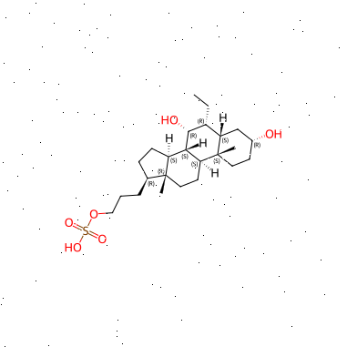 CC[C@H]1[C@@H](O)[C@@H]2[C@H](CC[C@]3(C)[C@@H](CCCOS(=O)(=O)O)CC[C@@H]23)[C@@]2(C)CC[C@@H](O)C[C@@H]12